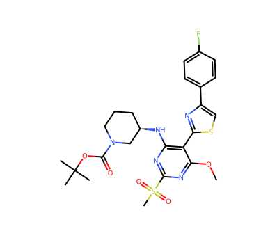 COc1nc(S(C)(=O)=O)nc(N[C@@H]2CCCN(C(=O)OC(C)(C)C)C2)c1-c1nc(-c2ccc(F)cc2)cs1